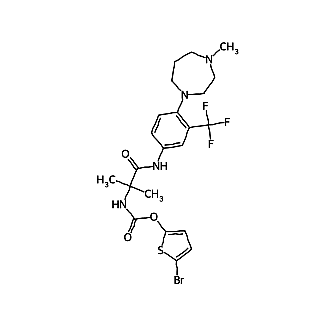 CN1CCCN(c2ccc(NC(=O)C(C)(C)NC(=O)Oc3ccc(Br)s3)cc2C(F)(F)F)CC1